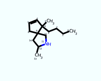 CCCCC1(C)C=CCC12CNC(C)C2